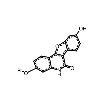 CC(C)Oc1ccc2c(c1)[nH]c(=O)c1c3ccc(O)cc3oc21